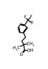 CC(C)(CCc1cccc(C(F)(F)F)c1)C(=O)O